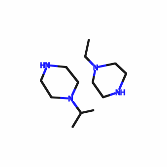 CC(C)N1CCNCC1.CCN1CCNCC1